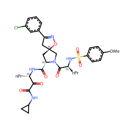 CCC[C@H](NC(=O)[C@@H]1C[C@]2(CC(c3cccc(Cl)c3)=NO2)CN1C(=O)[C@H](CCC)NS(=O)(=O)c1ccc(OC)cc1)C(=O)C(=O)NC1CC1